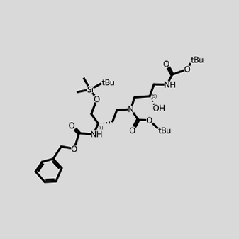 CC(C)(C)OC(=O)NC[C@H](O)CN(CC[C@@H](CO[Si](C)(C)C(C)(C)C)NC(=O)OCc1ccccc1)C(=O)OC(C)(C)C